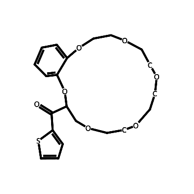 O=C(c1cccs1)C1COCCOCCOCCOCCOc2ccccc2O1